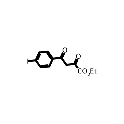 CCOC(=O)C(=O)CC(=O)c1ccc(I)cc1